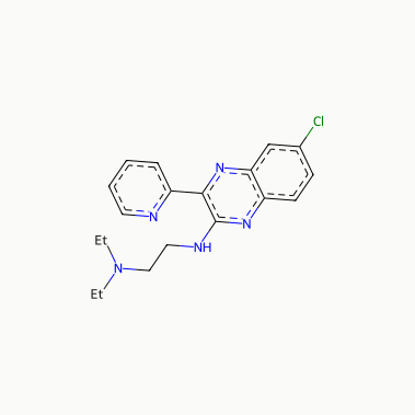 CCN(CC)CCNc1nc2ccc(Cl)cc2nc1-c1ccccn1